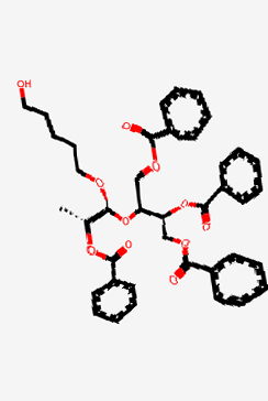 C[C@@H](OC(=O)c1ccccc1)[C@@H](OCCCCCO)OC(COC(=O)c1ccccc1)[C@H](COC(=O)c1ccccc1)OC(=O)c1ccccc1